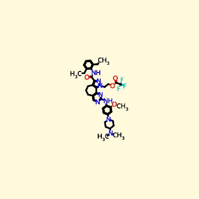 CCc1cccc(CC)c1NC(=O)c1nn(CCOC(=O)C(F)(F)F)c2c1CCCc1cnc(Nc3ccc(N4CCC(N(C)C)CC4)cc3OC)nc1-2